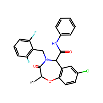 CC(C)C1Oc2ccc(Cl)cc2C(C(=O)Nc2ccccc2)N(Cc2c(F)cccc2F)C1=O